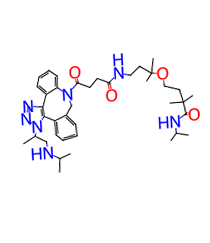 CC(C)NCC(C)n1nnc2c1-c1ccccc1CN(C(=O)CCC(=O)NCCC(C)(C)OCCC(C)(C)C(=O)NC(C)C)c1ccccc1-2